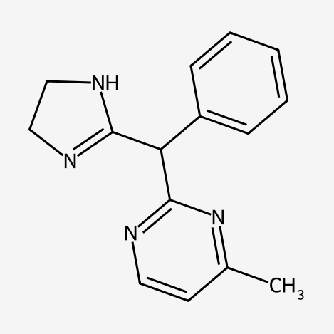 Cc1ccnc(C(C2=NCCN2)c2ccccc2)n1